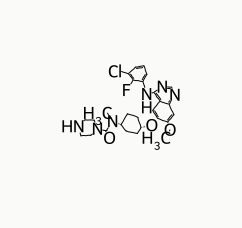 COc1cc2ncnc(Nc3cccc(Cl)c3F)c2cc1O[C@H]1CC[C@@H](N(C)C(=O)N2CCNCC2)CC1